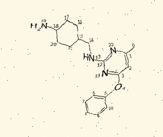 Cc1cc(Oc2ccccc2)nc(NCC2CCC(N)CC2)n1